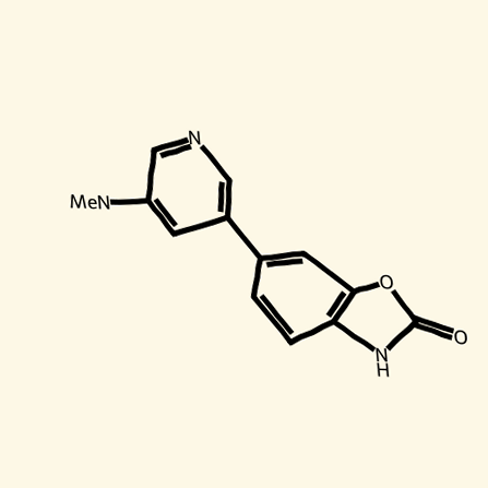 CNc1cncc(-c2ccc3[nH]c(=O)oc3c2)c1